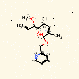 C=CC(OC)[C@@H](O)[C@H](C)/C=C(/C)COCc1ccccn1